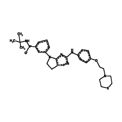 CC(C)(C)N[S+]([O-])c1cccc(N2CCc3cnc(Nc4ccc(OCCN5CCSCC5)cc4)nc32)c1